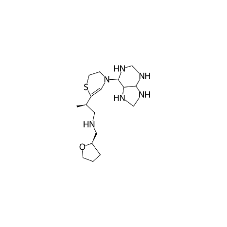 C[C@H](CNC[C@H]1CCCO1)C1=CN(C2NCNC3NCNC32)CCS1